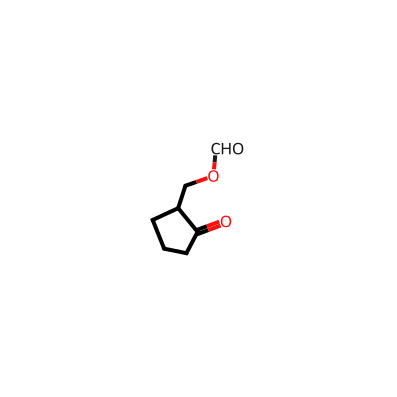 O=COCC1CCCC1=O